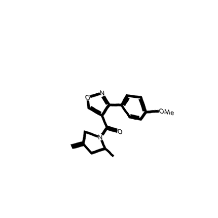 C=C1CC(C)N(C(=O)c2conc2-c2ccc(OC)cc2)C1